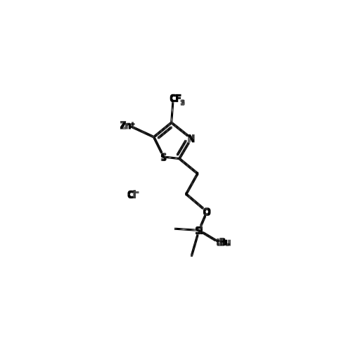 CC(C)(C)[Si](C)(C)OCCc1nc(C(F)(F)F)[c]([Zn+])s1.[Cl-]